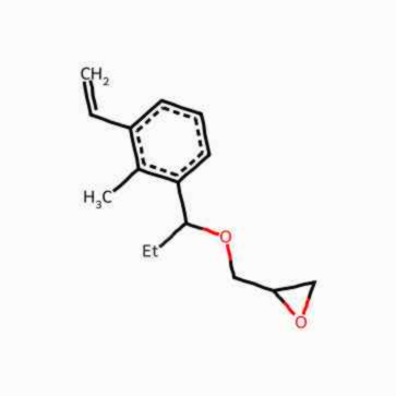 C=Cc1cccc(C(CC)OCC2CO2)c1C